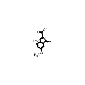 COc1ccc2cc(C(=O)[O-])oc(=O)c2c1.[Na+]